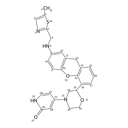 Cc1cnc(CNc2ccc3c(c2)Cc2cccc(C4CN(c5cc[nH]c(=O)c5)CCO4)c2O3)s1